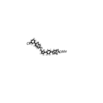 COc1nn2cc(-c3ccc(-c4ccc(COc5nn6cc(-c7cccc(Cl)c7)nc6s5)s4)cc3)nc2s1